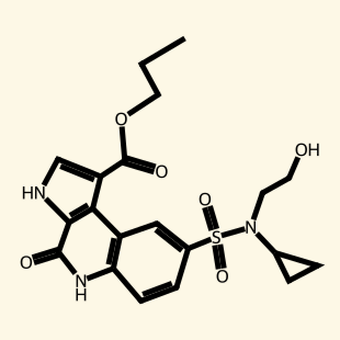 CCCOC(=O)c1c[nH]c2c(=O)[nH]c3ccc(S(=O)(=O)N(CCO)C4CC4)cc3c12